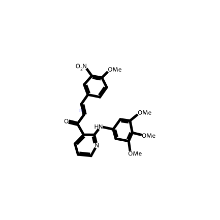 COc1ccc(/C=C/C(=O)c2cccnc2Nc2cc(OC)c(OC)c(OC)c2)cc1[N+](=O)[O-]